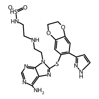 Nc1ncnc2c1nc(Sc1cc3c(cc1-c1cc[nH]n1)OCCO3)n2CCNCCN[SH](=O)=O